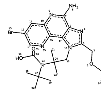 CCOCc1nc2c(N)nc3cc(Br)cnc3c2n1CC(C)(C)N(C(=O)O)C(C)(C)C